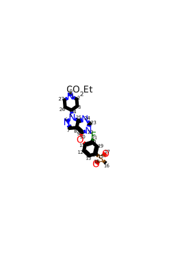 CCOC(=O)N1CCC(n2ncc3c(Oc4ccc(S(C)(=O)=O)cc4F)ncnc32)CC1